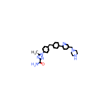 Cc1nc(C(N)=O)nn1-c1ccc(Cc2ccc(-c3ccc(CN4CCNCC4)cn3)cc2)cc1